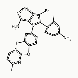 Cc1ccnc(Oc2ccc(-n3c(-c4ccc(N)cc4C)c(Br)c4ncnc(N)c43)cc2F)n1